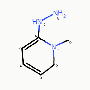 CN1CC=CC=C1NN